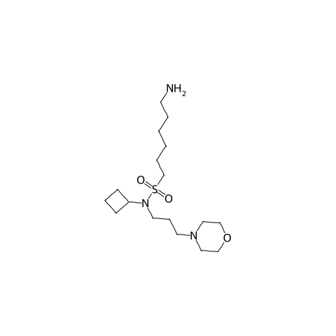 NCCCCCCS(=O)(=O)N(CCCN1CCOCC1)C1CCC1